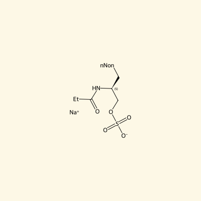 CCCCCCCCCC[C@@H](COS(=O)(=O)[O-])NC(=O)CC.[Na+]